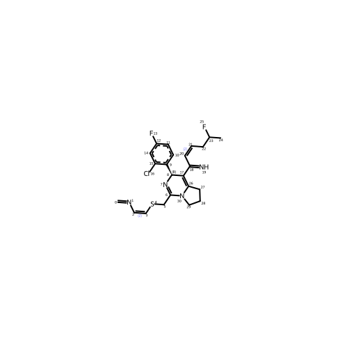 C=N/C=C\SCC1=N[C@@H](c2ccc(F)cc2Cl)C(C(=N)/C=C\CC(C)F)=C2CCCN12